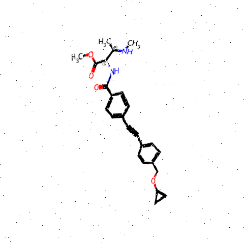 CN[C@H](C)[C@H](NC(=O)c1ccc(C#Cc2ccc(COC3CC3)cc2)cc1)C(=O)OC